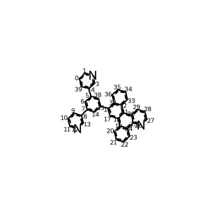 c1cncc(-c2cc(-c3cccnc3)cc(-c3cc4c5ccccc5c5ncccc5c4c4ccccc34)c2)c1